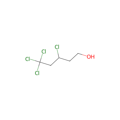 OCCC(Cl)CC(Cl)(Cl)Cl